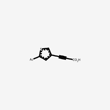 CC(=O)c1cc(C#CC(=O)O)cs1